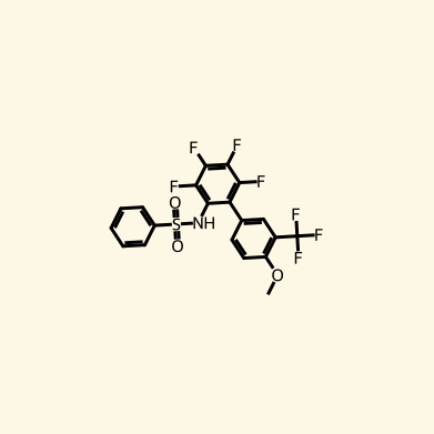 COc1ccc(-c2c(F)c(F)c(F)c(F)c2NS(=O)(=O)c2ccccc2)cc1C(F)(F)F